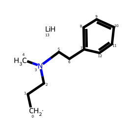 [CH2]CCN(C)CCc1ccccc1.[LiH]